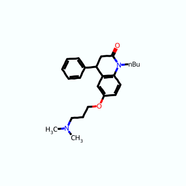 CCCCN1C(=O)CC(c2ccccc2)c2cc(OCCCN(C)C)ccc21